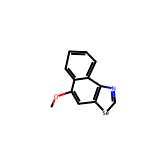 COc1cc2[se]cnc2c2ccccc12